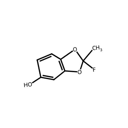 CC1(F)Oc2ccc(O)cc2O1